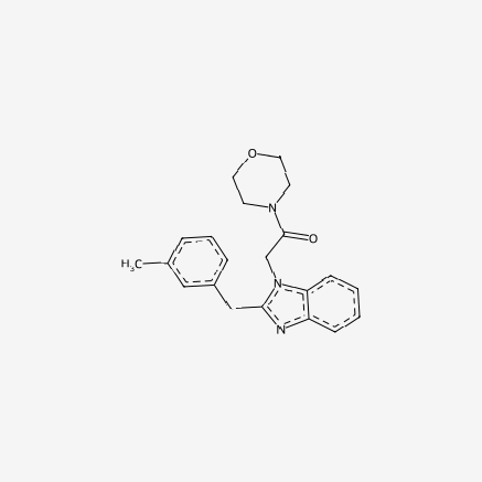 Cc1cccc(Cc2nc3ccccc3n2CC(=O)N2CCOCC2)c1